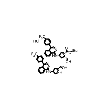 CC(C)(C)OC(=O)N1C[C@@H](Nc2nnc(-c3ccc(C(F)(F)F)cc3)c3ccccc23)C[C@H]1CO.Cl.OC[C@@H]1C[C@H](Nc2nnc(-c3ccc(C(F)(F)F)cc3)c3ccccc23)CN1